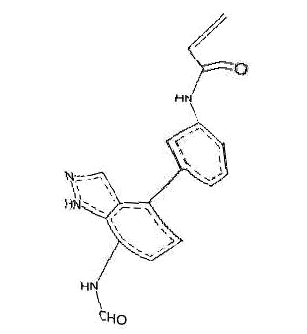 C=CC(=O)Nc1cccc(-c2ccc(NC=O)c3[nH]ncc23)c1